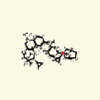 CN1CC2=C(N[C@@H](C3CC3)C(F)(F)CO2)c2cc(Nc3nc(N4CC5CCC(C4)N5CC4CC4)ncc3Cl)ccc21